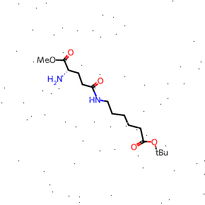 COC(=O)[C@@H](N)CCC(=O)NCCCCCC(=O)OC(C)(C)C